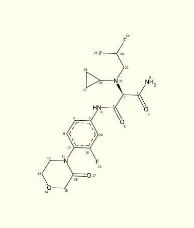 NC(=O)[C@@H](C(=O)Nc1ccc(N2CCOCC2=O)c(F)c1)N(CC(F)F)C1CC1